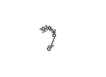 O=C(CCCCCCc1ccc(C(F)(F)C(=O)NCc2ccc3c(c2)CN(C2CCC(=O)NC2=O)C3=O)cc1)NOC1CCCCO1